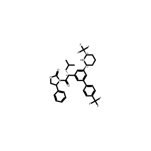 CC(C)C[C@@H](C(=O)N1C(=O)OCC1c1ccccc1)c1cc(-c2ccc(C(F)(F)F)cc2)cc([C@@H]2CCC[C@H](C(F)(F)F)N2)c1